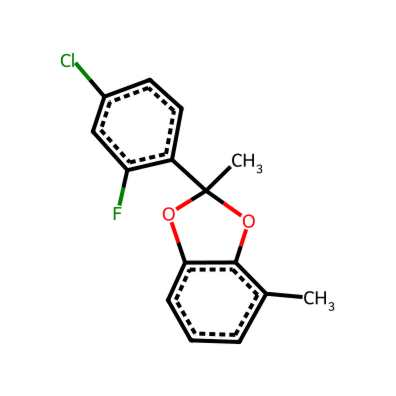 Cc1cccc2c1OC(C)(c1ccc(Cl)cc1F)O2